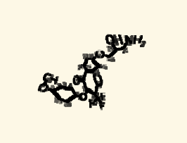 COc1ccc(Oc2c(C(F)(F)F)oc3cc(OCC(O)CN)ccc3c2=O)cc1